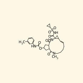 Cc1cccc(NC(=O)OC2CC3C(=O)NC4(C(=O)NS(=O)(=O)C5CC5)CC4/C=C/CCCCN(C)C(=O)C3C2)c1